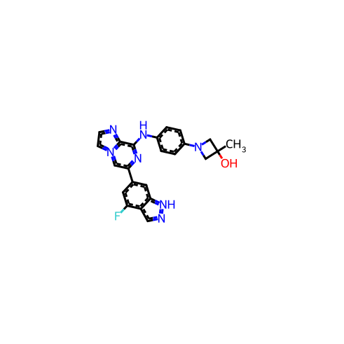 CC1(O)CN(c2ccc(Nc3nc(-c4cc(F)c5cn[nH]c5c4)cn4ccnc34)cc2)C1